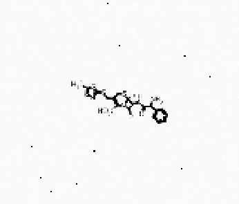 Cc1cnc(SCC2=C(C(=O)O)N3C(=O)C(NC(=O)C(N)c4ccccc4)[C@H]3SC2)s1